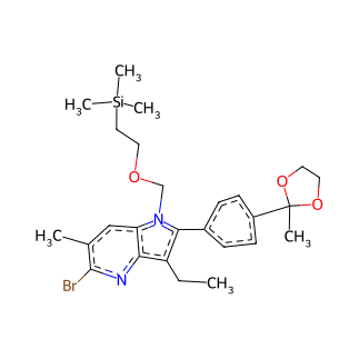 CCc1c(-c2ccc(C3(C)OCCO3)cc2)n(COCC[Si](C)(C)C)c2cc(C)c(Br)nc12